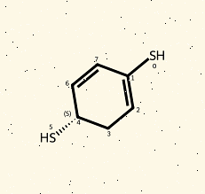 SC1=CC[C@H](S)C=C1